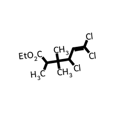 CCOC(=O)C(C)C(C)(C)C(Cl)C=C(Cl)Cl